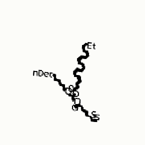 CC/C=C\C/C=C\C/C=C\C/C=C\C/C=C\C/C=C\CCC(=O)OC(COCCCCCCCCCCCCCCCC)COC(=O)CCCC[C@@H]1CCSS1